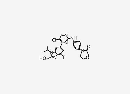 CC(C)n1c(CO)nc2c(F)cc(-c3nc(Nc4ccc(N5CCOCC5=O)cc4)ncc3Cl)cc21